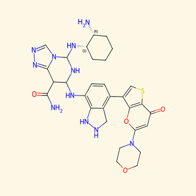 NC(=O)C1c2nncn2C(N[C@H]2CCCC[C@H]2N)NC1Nc1ccc(-c2csc3c(=O)cc(N4CCOCC4)oc23)c2c1NNC2